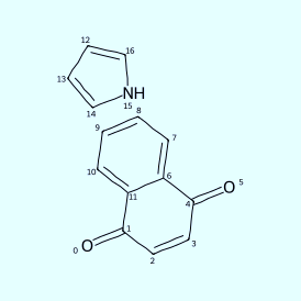 O=C1C=CC(=O)c2ccccc21.c1cc[nH]c1